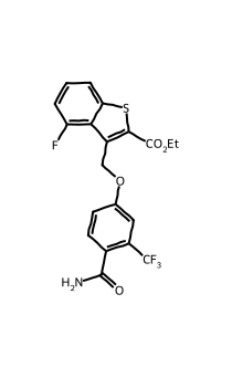 CCOC(=O)c1sc2cccc(F)c2c1COc1ccc(C(N)=O)c(C(F)(F)F)c1